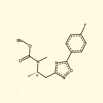 C[C@@H](Cc1noc(-c2ccc(F)cc2)n1)N(C)C(=O)OC(C)(C)C